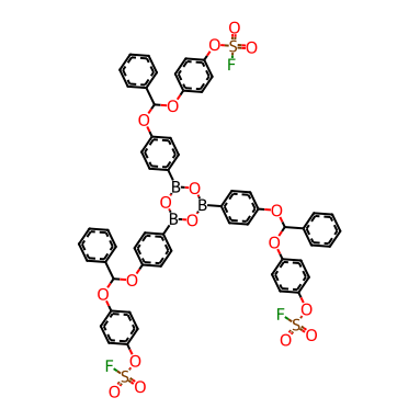 O=S(=O)(F)Oc1ccc(OC(Oc2ccc(B3OB(c4ccc(OC(Oc5ccc(OS(=O)(=O)F)cc5)c5ccccc5)cc4)OB(c4ccc(OC(Oc5ccc(OS(=O)(=O)F)cc5)c5ccccc5)cc4)O3)cc2)c2ccccc2)cc1